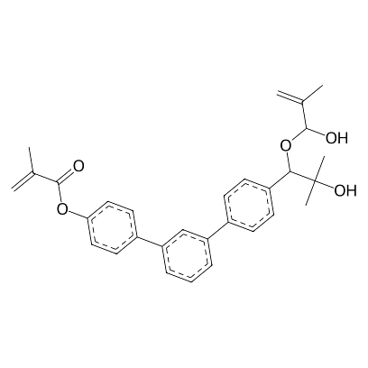 C=C(C)C(=O)Oc1ccc(-c2cccc(-c3ccc(C(OC(O)C(=C)C)C(C)(C)O)cc3)c2)cc1